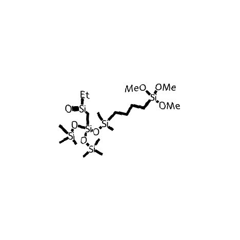 CC[Si](=O)C[Si](O[Si](C)(C)C)(O[Si](C)(C)C)O[Si](C)(C)CCCC[Si](OC)(OC)OC